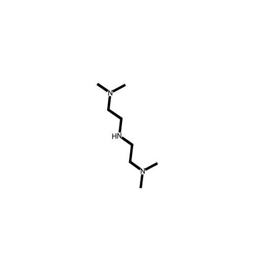 CN(C)CCNCCN(C)C